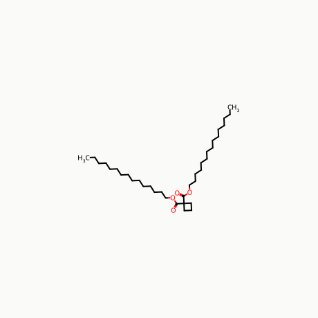 CCCCCCCCCCCCCCCOC(=O)C1(C(=O)OCCCCCCCCCCCCCCC)CCC1